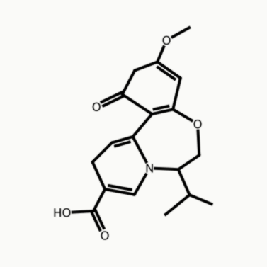 COC1=CC2=C(C(=O)C1)C1=CCC(C(=O)O)=CN1C(C(C)C)CO2